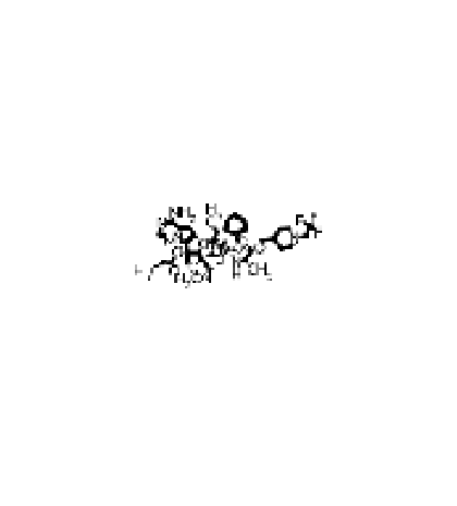 CCC(=O)O[C@@H]1[C@@](/C=N\C)(COP(=O)(N[C@@H](C)C(=O)OCC2CCN(CC(F)(F)F)CC2)Oc2ccccc2)OC[C@@]1(OC(=O)CC)c1ccc2c(N)ncnn12